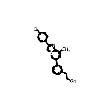 Cc1cc(-c2cccc(CCO)c2)cn2cc(-c3ccc(Cl)cc3)nc12